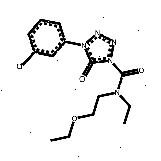 CCOCCN(CC)C(=O)n1nnn(-c2cccc(Cl)c2)c1=O